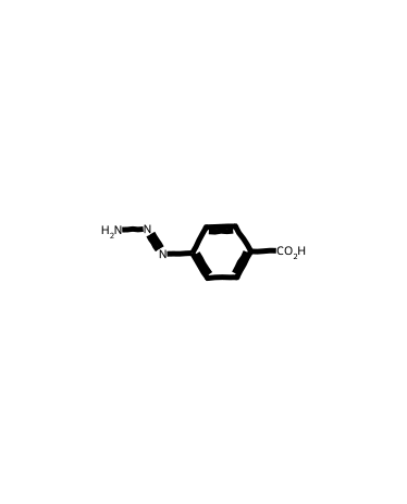 NN=Nc1ccc(C(=O)O)cc1